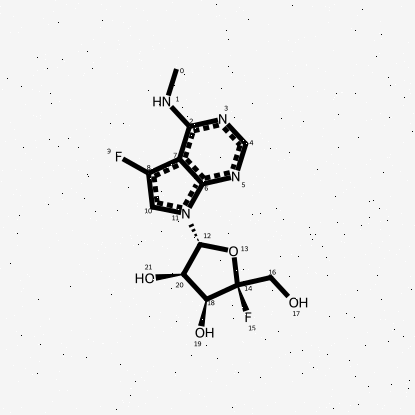 CNc1ncnc2c1c(F)cn2[C@@H]1O[C@](F)(CO)[C@@H](O)[C@H]1O